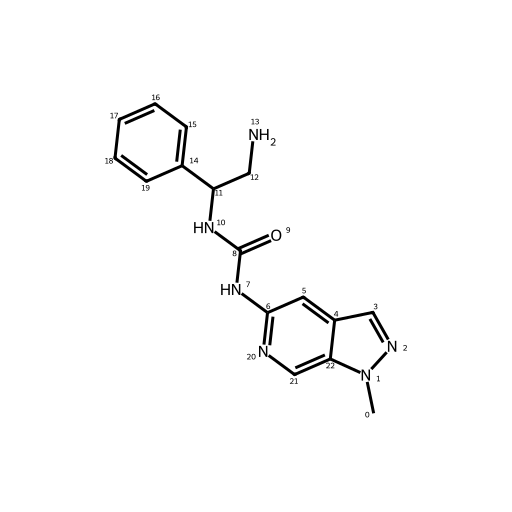 Cn1ncc2cc(NC(=O)NC(CN)c3ccccc3)ncc21